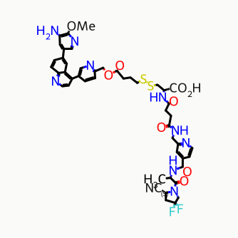 COc1ncc(-c2ccc3nccc(-c4ccc(COC(=O)CCCSSCC(NC(=O)CCC(=O)NCc5cc(C(=O)NC(C)C(=O)N6CC(F)(F)C[C@H]6C#N)ccn5)C(=O)O)nc4)c3c2)cc1N